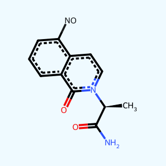 C[C@@H](C(N)=O)n1ccc2c(N=O)cccc2c1=O